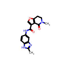 Cc1nc2cc(NC(=O)c3coc4c3C(=O)N(C)CC4)ccc2[nH]1